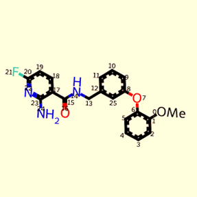 COc1ccccc1Oc1cccc(CNC(=O)c2ccc(F)nc2N)c1